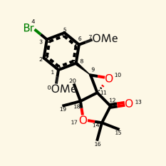 COc1cc(Br)cc(OC)c1[C@H]1O[C@@]12C(=O)C(C)(C)OC2(C)C